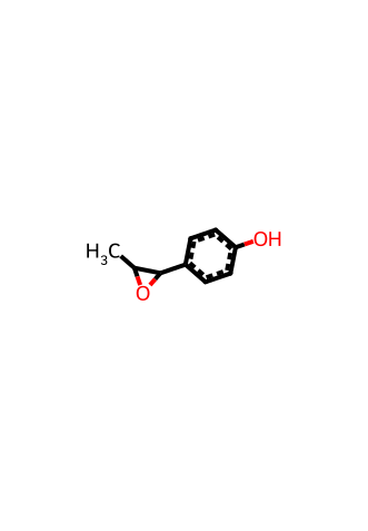 CC1OC1c1ccc(O)cc1